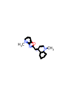 CN1C=C/C(=C\c2nc3c(ccc[n+]3C)o2)c2ccccc21